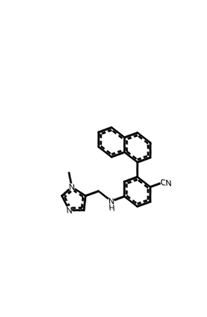 Cn1cncc1CNc1ccc(C#N)c(-c2cccc3ccccc23)c1